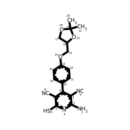 [C-]#[N+]c1c(N)nc(S)c(C#N)c1-c1ccc(OCC2COC(C)(C)O2)cc1